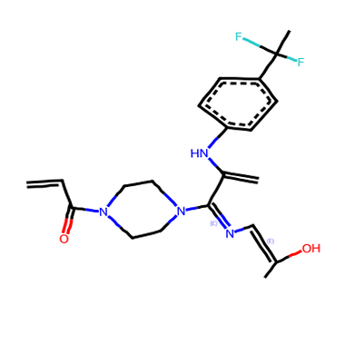 C=CC(=O)N1CCN(/C(=N/C=C(\C)O)C(=C)Nc2ccc(C(C)(F)F)cc2)CC1